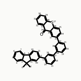 CC1(C)c2ccccc2-c2ccc(-c3cccc(-c4cccc(-c5ccc6sc7ccccc7c(=O)c6c5)c4)c3)cc21